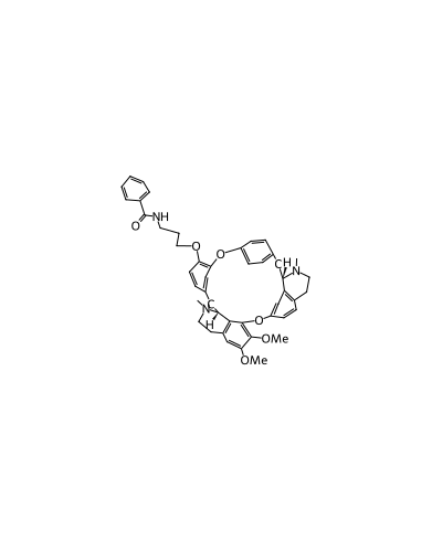 COc1cc2c3c(c1OC)Oc1ccc4c(c1)[C@H](Cc1ccc(cc1)Oc1cc(ccc1OCCCNC(=O)c1ccccc1)C[C@H]3N(C)CC2)N(C)CC4